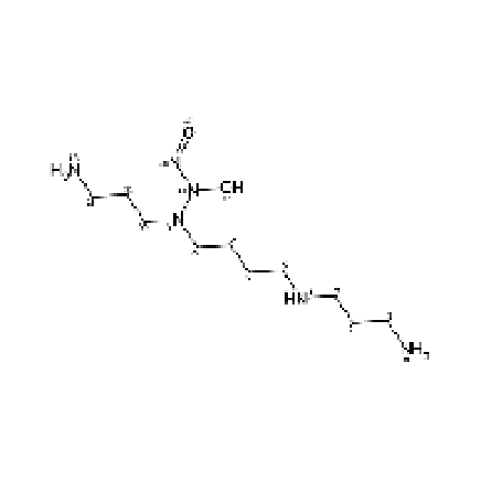 NCCCNCCCCN(CCCN)N(O)N=O